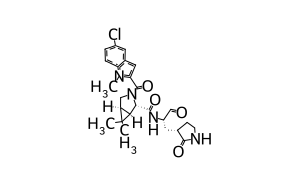 Cn1c(C(=O)N2C[C@H]3[C@@H]([C@H]2C(=O)N[C@H](C=O)C[C@@H]2CCNC2=O)C3(C)C)cc2cc(Cl)ccc21